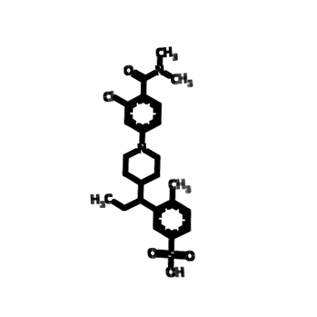 CCC(c1cc(S(=O)(=O)O)ccc1C)C1CCN(c2ccc(C(=O)N(C)C)c(Cl)c2)CC1